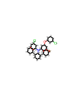 Clc1cccc(Oc2cc(Br)cc(N(c3cccc(Cl)c3)c3c(-c4ccccc4)cccc3-c3ccccc3)c2)c1